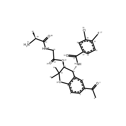 CC(=O)c1ccc2c(c1)[C@@H](NC(=O)c1ccc(F)c(Cl)c1)[C@H](OC(=O)CNC(=O)[C@H](C)N)C(C)(C)O2